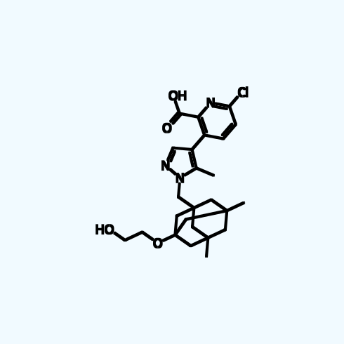 Cc1c(-c2ccc(Cl)nc2C(=O)O)cnn1CC12CC3(C)CC(C)(C1)CC(OCCO)(C3)C2